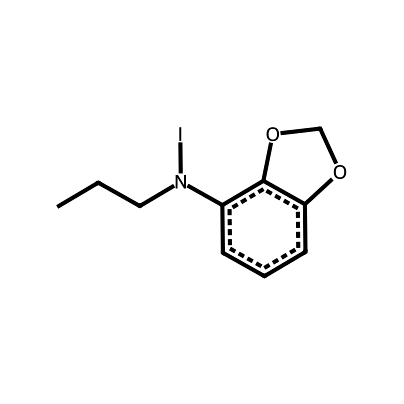 CCCN(I)c1cccc2c1OCO2